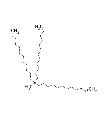 C=CCCCCCCCCCC[Si](C)(CCCCCCCCCCCC)CCCCCCCCCCCC